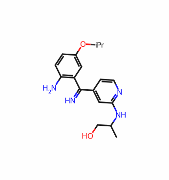 CC(CO)Nc1cc(C(=N)c2cc(OC(C)C)ccc2N)ccn1